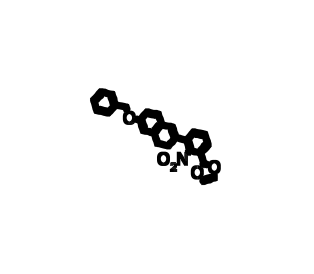 O=[N+]([O-])c1c(C2=Cc3ccc(OCc4ccccc4)cc3CC2)cccc1C1OC=CO1